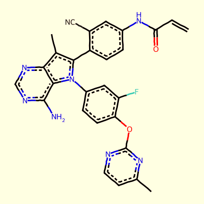 C=CC(=O)Nc1ccc(-c2c(C)c3ncnc(N)c3n2-c2ccc(Oc3nccc(C)n3)c(F)c2)c(C#N)c1